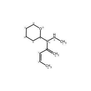 C=C(/C=C\C)N(NC)C1CCCCO1